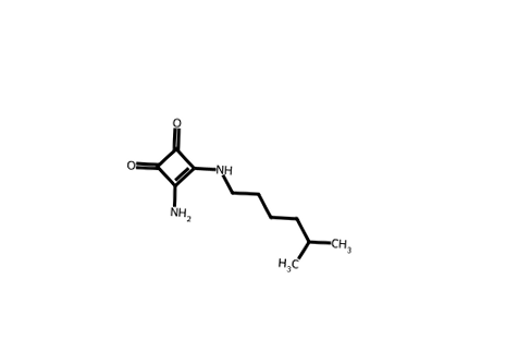 CC(C)CCCCNc1c(N)c(=O)c1=O